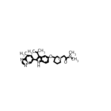 Cc1cc(-c2[nH]c3ccc(OC4CCCN(CC(=O)N(C)C)C4)cc3c2C(C)C)cn2ncnc12